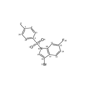 Cc1ccc(S(=O)(=O)n2cc(Br)c3ccc(F)cc32)cc1